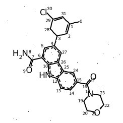 CC1=CC(c2cc(C(N)=O)c3[nH]c4ccc(C(=O)N5CCOCC5)cc4c3c2)CC(Cl)=C1